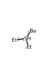 CC[SH]([Ba])CC